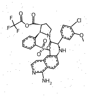 CCS(=O)(=O)c1ccccc1[C@H]1[C@@H](C(=O)OC(=O)C(F)(F)F)CCN1C(=O)[C@H](Nc1ccc2c(N)nccc2c1)c1ccc(Cl)c(OC)c1